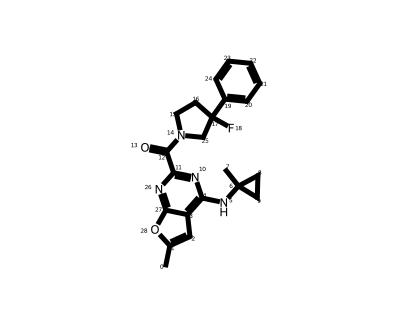 Cc1cc2c(NC3(C)CC3)nc(C(=O)N3CCC(F)(c4ccccc4)C3)nc2o1